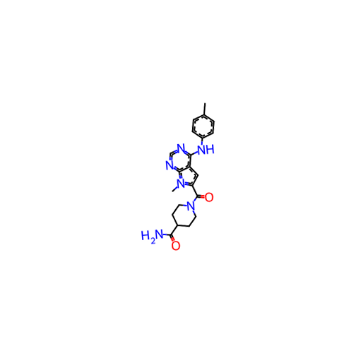 Cc1ccc(Nc2ncnc3c2cc(C(=O)N2CCC(C(N)=O)CC2)n3C)cc1